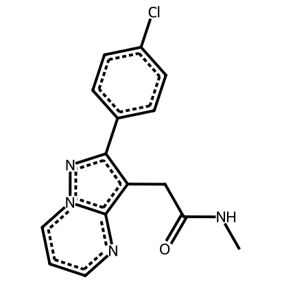 CNC(=O)Cc1c(-c2ccc(Cl)cc2)nn2cccnc12